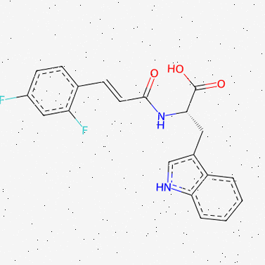 O=C(C=Cc1ccc(F)cc1F)N[C@@H](Cc1c[nH]c2ccccc12)C(=O)O